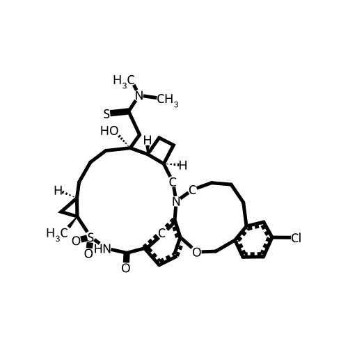 CN(C)C(=S)C[C@]1(O)CCC[C@@H]2C[C@@]2(C)S(=O)(=O)NC(=O)c2ccc3c(c2)N(CCCCc2cc(Cl)ccc2CO3)C[C@@H]2CC[C@H]21